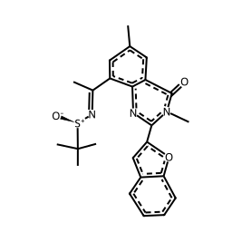 CC(=N[S@+]([O-])C(C)(C)C)c1cc(C)cc2c(=O)n(C)c(-c3cc4ccccc4o3)nc12